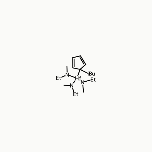 CCC(C)[C]1([Hf]([N](C)CC)([N](C)CC)[N](C)CC)C=CC=C1